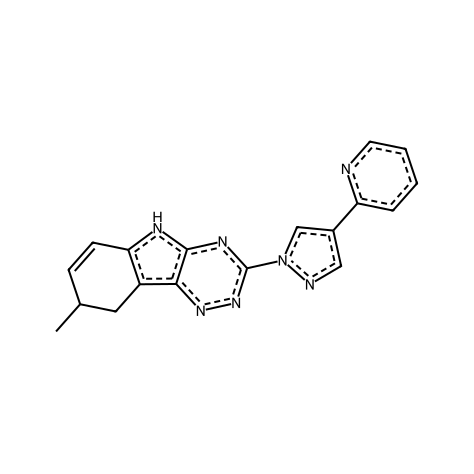 CC1C=Cc2[nH]c3nc(-n4cc(-c5ccccn5)cn4)nnc3c2C1